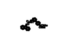 COC(OC)c1ccc(-c2cccc(CNC(=O)OCC3c4ccccc4-c4ccccc43)c2)cc1